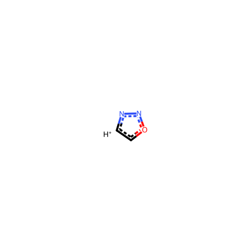 [H+].c1conn1